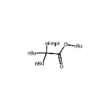 CCCCCCCC(CCCC)(CCCC)C(=O)OCCCC